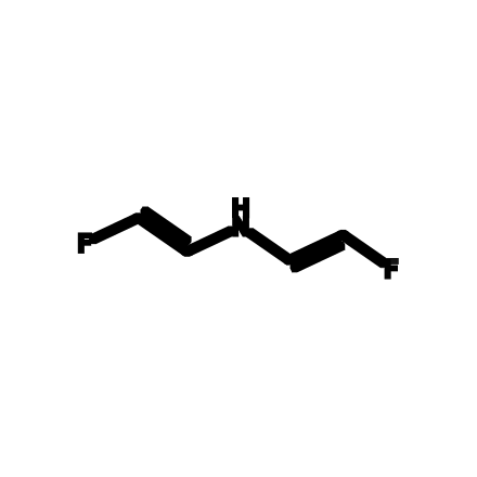 FC=CNC=CF